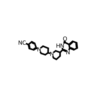 N#Cc1ccc(N2CCC(N3CCCC(c4nc5ccccc5c(=O)[nH]4)C3)CC2)cc1